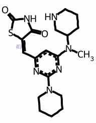 CN(c1cc(/C=C2/SC(=O)NC2=O)nc(N2CCCCC2)n1)C1CCCNC1